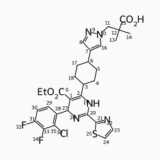 CCOC(=O)C1=C(C2CCC(c3cnn(CC(C)(C)C(=O)O)c3)CC2)NC(c2nccs2)=NC1c1ccc(F)c(F)c1Cl